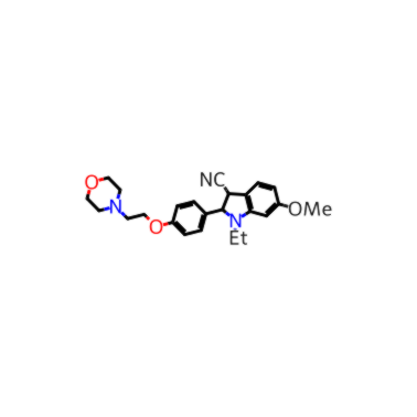 CCN1c2cc(OC)ccc2C(C#N)C1c1ccc(OCCN2CCOCC2)cc1